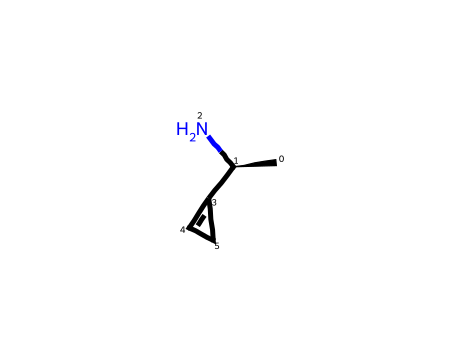 C[C@H](N)C1=CC1